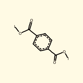 O=C(OI)c1ccc(C(=O)OI)cc1